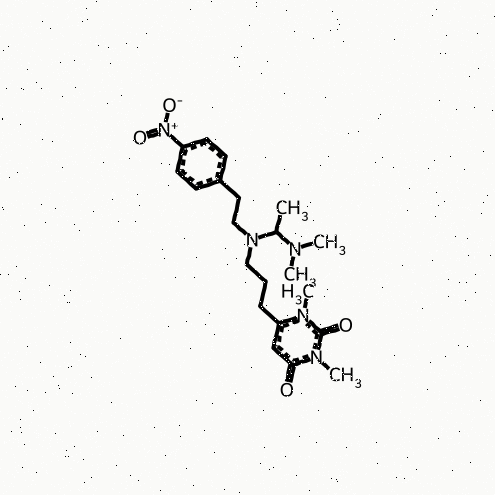 CC(N(C)C)N(CCCc1cc(=O)n(C)c(=O)n1C)CCc1ccc([N+](=O)[O-])cc1